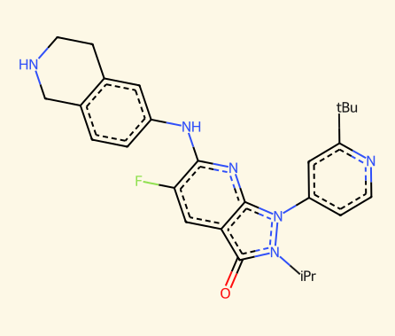 CC(C)n1c(=O)c2cc(F)c(Nc3ccc4c(c3)CCNC4)nc2n1-c1ccnc(C(C)(C)C)c1